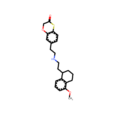 COc1cccc2c1CCCC2CCNCCc1ccc2c(c1)OCC(=O)S2